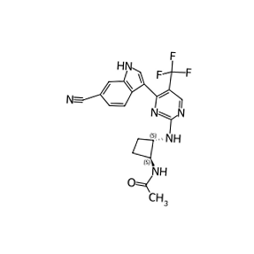 CC(=O)N[C@H]1CC[C@@H]1Nc1ncc(C(F)(F)F)c(-c2c[nH]c3cc(C#N)ccc23)n1